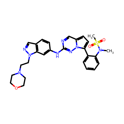 CN(c1ccccc1-c1ccc2cnc(Nc3ccc4cnn(CCN5CCOCC5)c4c3)nn12)S(C)(=O)=O